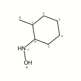 CC1CCCCC1NO